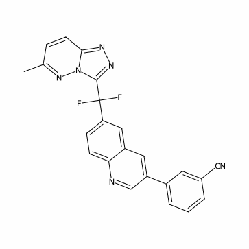 Cc1ccc2nnc(C(F)(F)c3ccc4ncc(-c5cccc(C#N)c5)cc4c3)n2n1